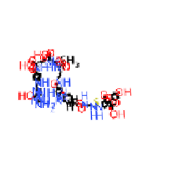 COC(=O)[C@H](CCCCNC(=O)c1ccc(N(N)/C2=C(\N)CC[C@H]3[C@@H](CC2)[C@H]3COC(=O)NCCNC(=S)Nc2ccc3c(c2)C(=O)OC32c3ccc(O)cc3Oc3cc(O)ccc32)cc1)NC(=O)CC[C@H](NC(=O)CC[C@H](NC(=O)c1ccc(NCc2cnc3nc(N)nc(O)c3n2)cc1)C(=O)O)C(=O)O